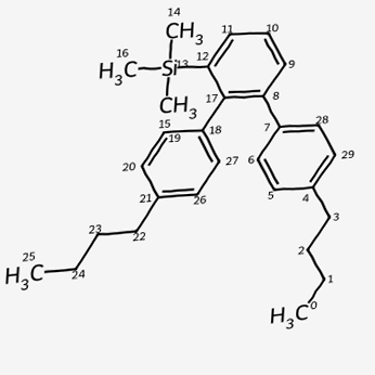 CCCCc1ccc(-c2cccc([Si](C)(C)C)c2-c2ccc(CCCC)cc2)cc1